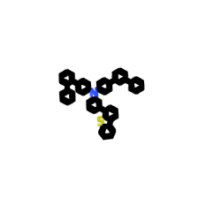 c1ccc(-c2cccc(-c3ccc(N(c4ccc(-c5ccccc5-c5ccccc5)cc4)c4cccc(-c5cccc6c5sc5ccccc56)c4)cc3)c2)cc1